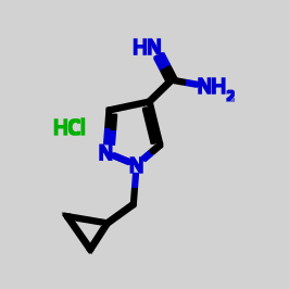 Cl.N=C(N)c1cnn(CC2CC2)c1